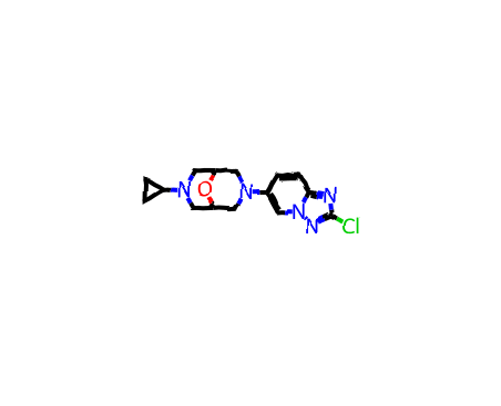 Clc1nc2ccc(N3CC4CN(C5CC5)CC(C3)O4)cn2n1